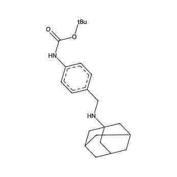 CC(C)(C)OC(=O)Nc1ccc(CNC23CC4CC(CC(C4)C2)C3)cc1